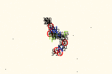 CC(C)(C)OC(=O)N1CCC(Oc2cc(F)c3c(c2)CN(c2cnn(COCC[Si](C)(C)C)c(=O)c2C(F)(F)F)C3)CC1